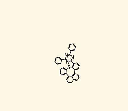 c1ccc(-c2nc(-c3ccccc3)nc(-c3cccc4c3Sc3ccccc3-c3cccc5cccc-4c35)n2)cc1